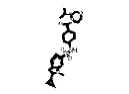 CC(C)[C@H]1COCCN1C(=O)C1CCC(NS(=O)(=O)c2ccc3cc(C4CC4)n(C)c3c2)CC1